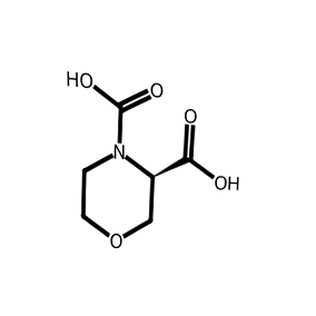 O=C(O)[C@H]1COCCN1C(=O)O